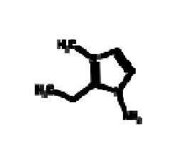 CCc1n(N)cc[n+]1C